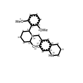 COc1cccc(OC)c1C1CCCC(C=O)N1Cc1ccc2c(c1)CCCN2